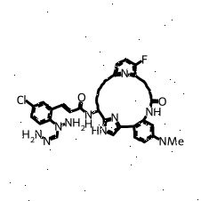 CNc1ccc2c(c1)NC(=O)CCc1nc(ccc1F)CCCC(NC(=O)/C=C/c1cc(Cl)ccc1N(N)/C=N\N)c1nc-2c[nH]1